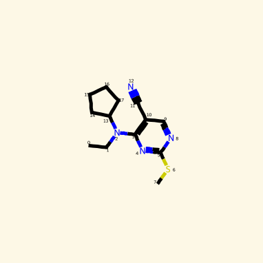 CCN(c1nc(SC)ncc1C#N)C1CCCC1